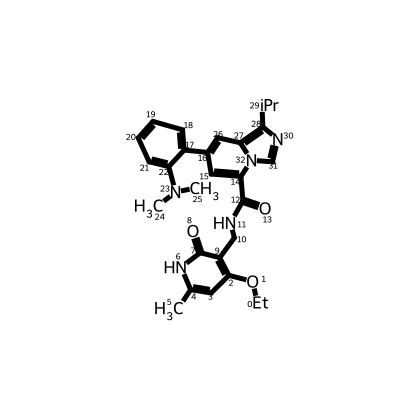 CCOc1cc(C)[nH]c(=O)c1CNC(=O)c1cc(-c2ccccc2N(C)C)cc2c(C(C)C)ncn12